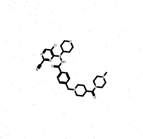 CN1CCN(C(=O)C2CCN(Cc3ccc(C(=O)NN(c4nc(C#N)ncc4Cl)C4CCOCC4)cc3)CC2)CC1